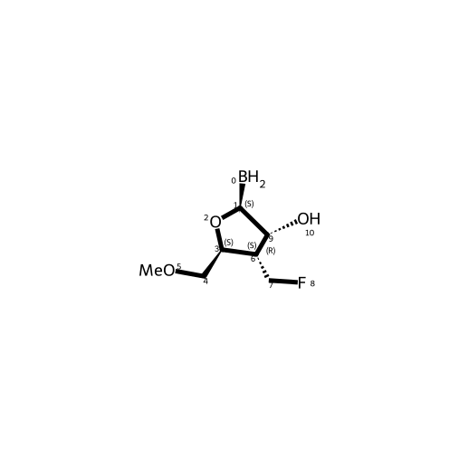 B[C@@H]1O[C@H](COC)[C@@H](CF)[C@H]1O